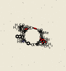 CCCN(C(=O)[C@@H](NC(=O)[C@H](C)N(C)C(=O)OC(C)(C)C)C(C)(C)C)[C@@H]1C(=O)N[C@@H](Cc2ccc3ccccc3c2)C(=O)N[C@H](/C(N)=N/O)Cc2ccc(cc2)OCc2cn(nn2)C2CCN(C(=O)[C@@H](NC(=O)[C@H](C)N(C)C(=O)OC(C)(C)C)C(C)(C)C)[C@@H]2C(=O)N[C@@H](Cc2ccc3ccccc3c2)C(=O)N[C@H](C(=O)OC)Cc2ccc(cc2)OCc2cn1nn2